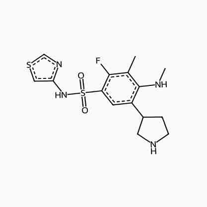 CNc1c(C2CCNC2)cc(S(=O)(=O)Nc2cscn2)c(F)c1C